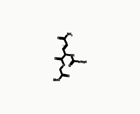 CCCCCCCC(=O)NC(/C=C/C(N)=O)C(=O)OCC(=O)OC